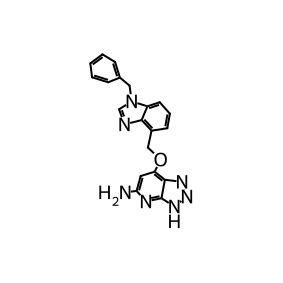 Nc1cc(OCc2cccc3c2ncn3Cc2ccccc2)c2nn[nH]c2n1